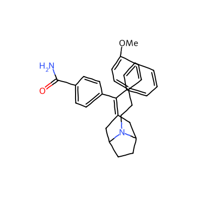 COc1ccc(CCN2C3CCC2CC(=C(c2ccccc2)c2ccc(C(N)=O)cc2)C3)cc1